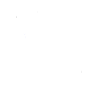 C=C(C)CC/C=C/CCC(NC(C)CCCC)C(=C)C(C)C